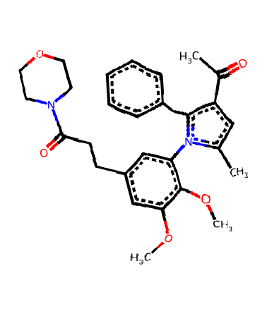 COc1cc(CCC(=O)N2CCOCC2)cc(-n2c(C)cc(C(C)=O)c2-c2ccccc2)c1OC